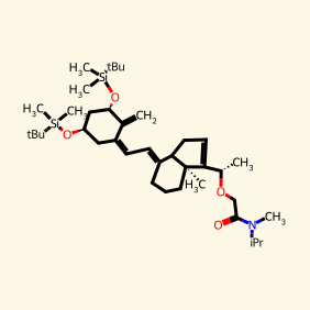 C=C1C(=CC=C2CCC[C@]3(C)C([C@H](C)OCC(=O)N(C)C(C)C)=CCC23)C[C@@H](O[Si](C)(C)C(C)(C)C)C[C@@H]1O[Si](C)(C)C(C)(C)C